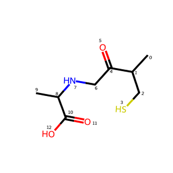 CC(CS)C(=O)CNC(C)C(=O)O